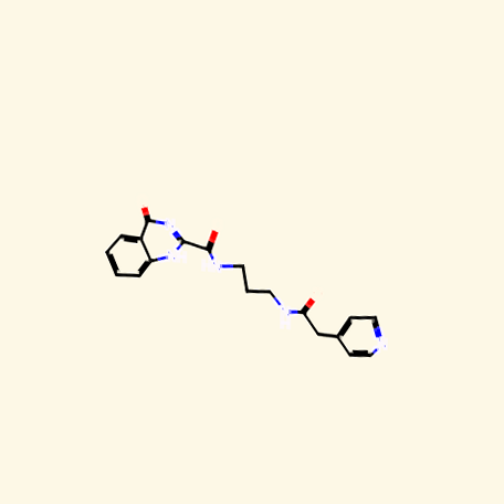 O=C(Cc1ccncc1)NCCCNC(=O)c1nc(=O)c2ccccc2[nH]1